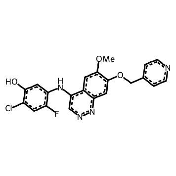 COc1cc2c(Nc3cc(O)c(Cl)cc3F)cnnc2cc1OCc1ccncc1